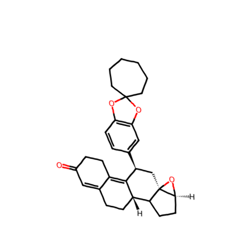 O=C1C=C2CC[C@@H]3C(=C2CC1)[C@@H](c1ccc2c(c1)OC1(CCCCCC1)O2)C[C@]12O[C@H]1CCC32